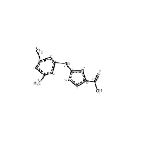 Cc1cc(C)cc(Nc2nc(C(=O)O)cs2)c1